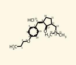 CCCOc1ccc(C=C2CCC(CN(C)C)C2=O)cc1.Cl